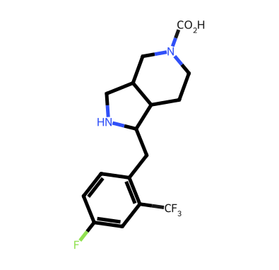 O=C(O)N1CCC2C(CNC2Cc2ccc(F)cc2C(F)(F)F)C1